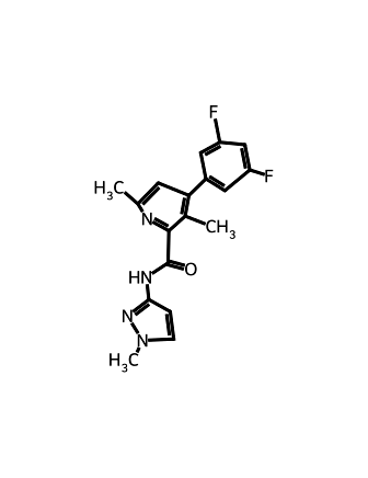 Cc1cc(-c2cc(F)cc(F)c2)c(C)c(C(=O)Nc2ccn(C)n2)n1